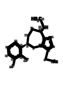 CC(=O)Cc1cnc2n1C[C@H](c1cccc(F)c1F)CC[C@H]2NC(=O)O